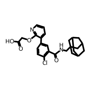 O=C(O)COc1ncccc1-c1ccc(Cl)c(C(=O)NCC23CC4CC(CC(C4)C2)C3)c1